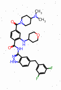 CN(C)C1CCN(C(=O)c2ccc(C(=O)Nc3n[nH]c4ccc(Cc5cc(F)cc(F)c5)cc34)c(NC3CCOCC3)c2)CC1